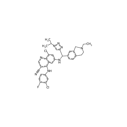 CCN1CCc2ccc(C(Nc3cc(Cl)c4ncc(C#N)c(Nc5ccc(F)c(Cl)c5)c4c3)c3cn(C(C)C)nn3)cc2C1